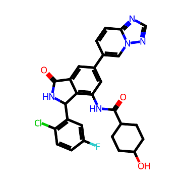 O=C1NC(c2cc(F)ccc2Cl)c2c(NC(=O)C3CCC(O)CC3)cc(-c3ccc4ncnn4c3)cc21